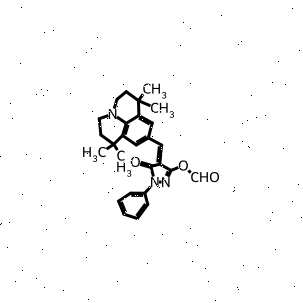 CC1(C)CCN2CCC(C)(C)c3cc(/C=C4\C(=O)N(c5ccccc5)N=C4OC=O)cc1c32